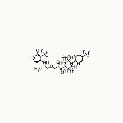 [2H]C1([2H])N(C(=O)[C@H](O)COC[C@H](C)Nc2cn[nH]c(=O)c2C(F)(F)F)C([2H])([2H])C([2H])([2H])N(c2ncc(C(F)(F)F)cn2)C1([2H])[2H]